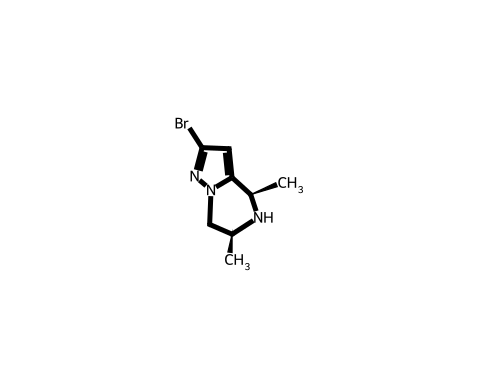 C[C@H]1Cn2nc(Br)cc2[C@@H](C)N1